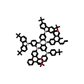 C=C/C=C\c1c(C)c2ccccc2c2cc(N3c4cc(-n5c6ccc(C(C)(C)C)cc6c6cc(C(C)(C)C)ccc65)ccc4B4c5ccc(-n6c7ccc(C(C)(C)C)cc7c7cc(C(C)(C)C)ccc76)cc5N(c5ccc6c7ccccc7c7ccccc7c6c5)c5cc(N(c6ccc(C(C)(C)C)cc6)c6ccc(C(C)(C)C)cc6)cc3c54)ccc12